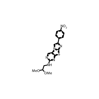 COC(CNc1ncc2c(n1)sc1nc(-c3ccc([N+](=O)[O-])cc3)cn12)OC